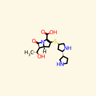 C[C@@H](O)[C@H]1C(=O)N2C(C(=O)O)=C(S[C@@H]3CN[C@H](C4CCNC4)C3)C[C@H]12